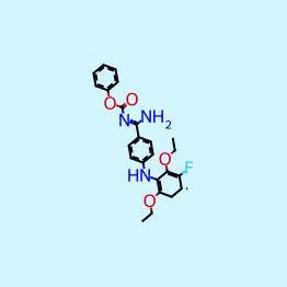 CCOC1=C(Nc2ccc(C(N)=NC(=O)Oc3ccccc3)cc2)C(OCC)=C(F)[CH]C1